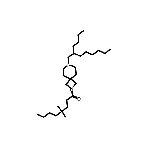 CCCCCCC(CCCC)CN1CCC2(CC1)CN(C(=O)CCC(C)(C)CCCC)C2